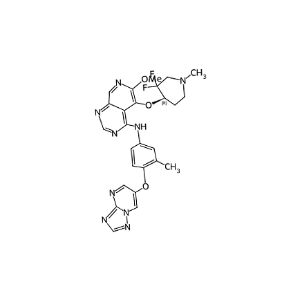 COc1ncc2ncnc(Nc3ccc(Oc4cnc5ncnn5c4)c(C)c3)c2c1O[C@@H]1CCN(C)CC1(F)F